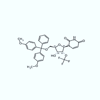 COc1ccc(C(OC[C@H]2O[C@@H](n3ccc(=O)[nH]c3=O)[C@H](OC(F)(F)F)[C@@H]2O)(c2ccccc2)c2ccc(OC)cc2)cc1